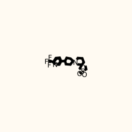 O=S1(=O)CC[C@]2(CCCN(C3CCC(c4ccc(C(F)(F)F)nc4)CC3)C2)C1